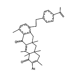 C=C(C)c1ccc(CCc2ccc(C)c3c2CC2(C)CC4(C)CC(C)=C(C(C)=O)C(=O)C4(C)C(C)=C2C3=O)cc1